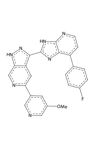 COc1cncc(-c2cc3c(-c4nc5c(-c6ccc(F)cc6)ccnc5[nH]4)n[nH]c3cn2)c1